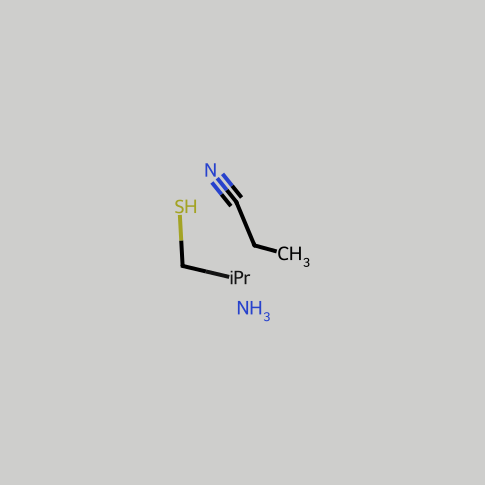 CC(C)CS.CCC#N.N